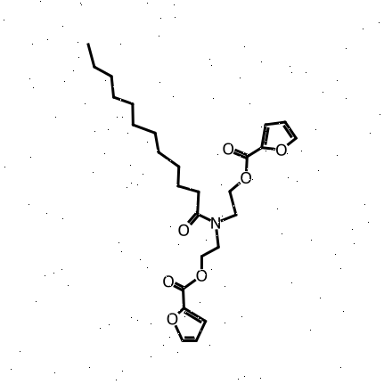 CCCCCCCCCCCC(=O)N(CCOC(=O)c1ccco1)CCOC(=O)c1ccco1